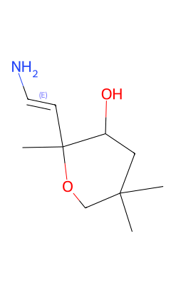 CC1(C)COC(C)(/C=C/N)C(O)C1